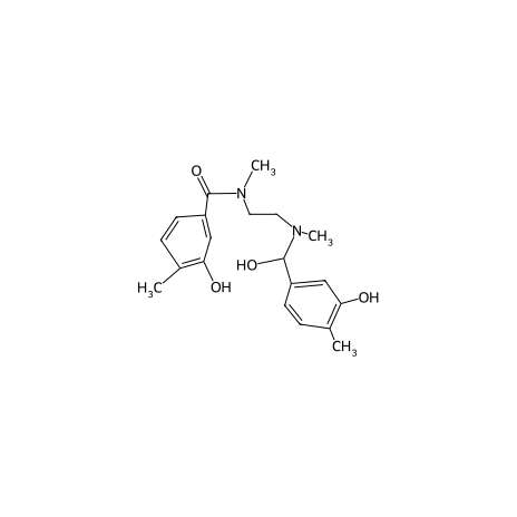 Cc1ccc(C(=O)N(C)CCN(C)C(O)c2ccc(C)c(O)c2)cc1O